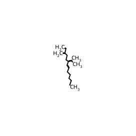 C=CC(=C)CCC(C=CCCCCCC)=C(C)C